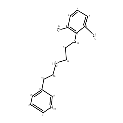 Clc1cccc(Cl)c1SCCNCCc1cccnc1